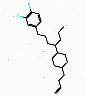 C=CCCC1CCC(C(CCC)CCCc2ccc(F)c(F)c2)CC1